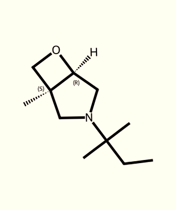 CCC(C)(C)N1C[C@@H]2OC[C@]2(C)C1